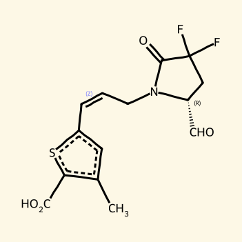 Cc1cc(/C=C\CN2C(=O)C(F)(F)C[C@@H]2C=O)sc1C(=O)O